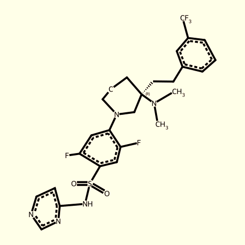 CN(C)[C@]1(CCc2cccc(C(F)(F)F)c2)CCCN(c2cc(F)c(S(=O)(=O)Nc3ccncn3)cc2F)C1